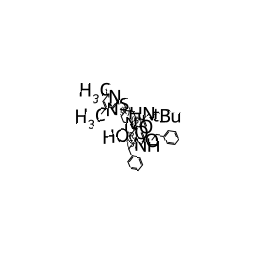 Cc1cc(C)nc(S[C@@H]2CCN(C[C@@H](O)[C@H](Cc3ccccc3)NC(=O)OCc3ccccc3)[C@H](C(=O)NC(C)(C)C)C2)n1